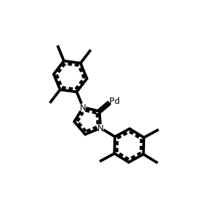 Cc1cc(C)c(-n2ccn(-c3cc(C)c(C)cc3C)[c]2=[Pd])cc1C